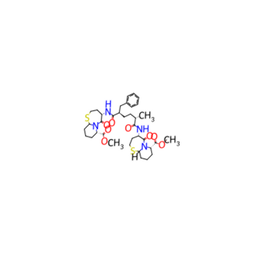 COC(=O)[C@@H]1CCCC2SCC[C@H](NC(=O)[C@H](CC[C@H](C)C(=O)N[C@H]3CCS[C@H]4CCC[C@@H](C(=O)OC)N4C3=O)Cc3ccccc3)C(=O)N21